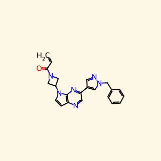 C=CC(=O)N1CC(n2ccc3ncc(-c4cnn(Cc5ccccc5)c4)nc32)C1